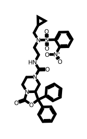 O=C(NCCN(CC1CC1)S(=O)(=O)c1ccccc1[N+](=O)[O-])N1CCN2C(=O)OC(c3ccccc3)(c3ccccc3)C2C1